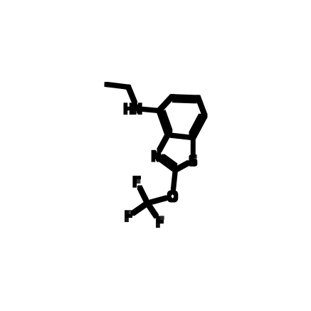 CCNc1cccc2sc(OC(F)(F)F)nc12